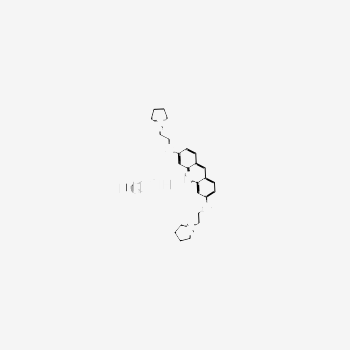 Cl.Cl.Cl.c1cc2cc3ccc(OCCN4CCCC4)cc3nc2cc1OCCN1CCCC1